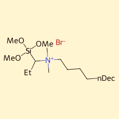 CCCCCCCCCCCCCC[N+](C)(C)C(CC)[Si](OC)(OC)OC.[Br-]